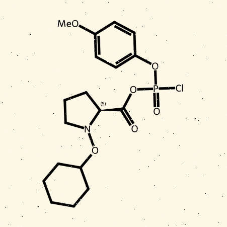 COc1ccc(OP(=O)(Cl)OC(=O)[C@@H]2CCCN2OC2CCCCC2)cc1